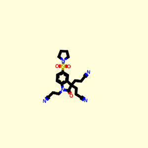 N#CCCN1C(=O)C(CCC#N)(CCC#N)c2cc(S(=O)(=O)N3CCCC3)ccc21